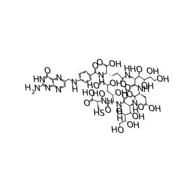 Nc1nc2ncc(CNc3ccc(C(=O)N[C@@H](CCC(=O)N[C@H](C(=O)N[C@@H](CC(=O)O)C(=O)N[C@H](C(=O)N[C@H](C(=O)N[C@@H](CS)C(=O)O)[C@@H](O)[C@H](O)[C@H](O)CO)[C@@H](O)C(O)[C@H](O)CO)[C@@H](O)C(O)[C@H](O)CO)C(=O)O)cc3)nc2c(=O)[nH]1